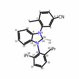 Cc1ccc(C#N)cc1N1c2ccccc2N(c2c(C(C)C)cccc2C(C)C)[C@H]1C